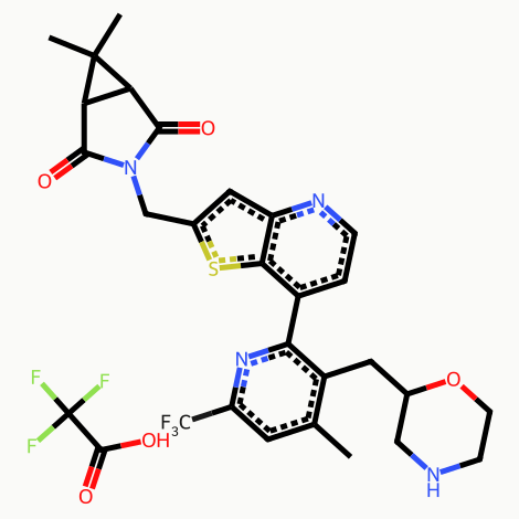 Cc1cc(C(F)(F)F)nc(-c2ccnc3cc(CN4C(=O)C5C(C4=O)C5(C)C)sc23)c1CC1CNCCO1.O=C(O)C(F)(F)F